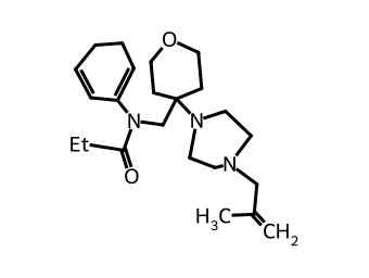 C=C(C)CN1CCN(C2(CN(C(=O)CC)C3=CCCC=C3)CCOCC2)CC1